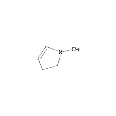 [CH]N1C=CCC1